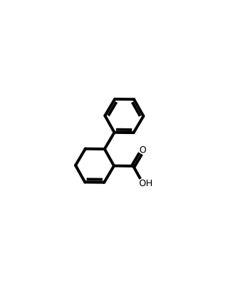 O=C(O)C1C=CCCC1c1ccccc1